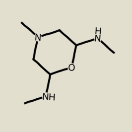 CNC1CN(C)CC(NC)O1